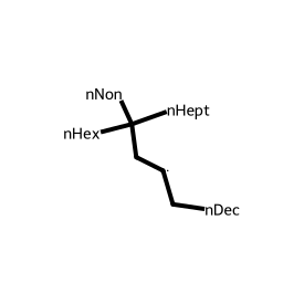 CCCCCCCCCCC[CH]CC(CCCCCC)(CCCCCCC)CCCCCCCCC